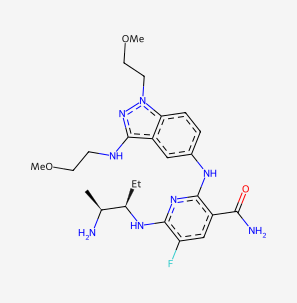 CC[C@@H](Nc1nc(Nc2ccc3c(c2)c(NCCOC)nn3CCOC)c(C(N)=O)cc1F)[C@H](C)N